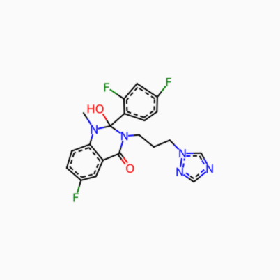 CN1c2ccc(F)cc2C(=O)N(CCCn2cncn2)C1(O)c1ccc(F)cc1F